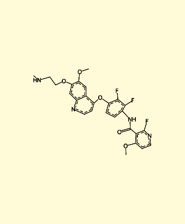 CNCCOc1cc2nccc(Oc3ccc(NC(=O)c4c(OC)ccnc4F)c(F)c3F)c2cc1OC